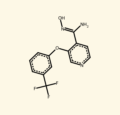 NC(=NO)c1ccncc1Oc1cccc(C(F)(F)F)c1